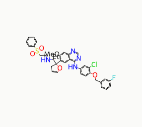 CCC(NCCS(=O)(=O)c1ccccc1)C1(c2cc3c(Nc4ccc(OCc5cccc(F)c5)c(Cl)c4)ncnc3cc2OC)CC=CO1